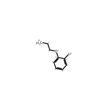 [Li][c]1ccccc1OCCC